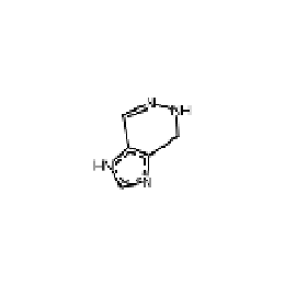 C1=NNCc2nc[nH]c21